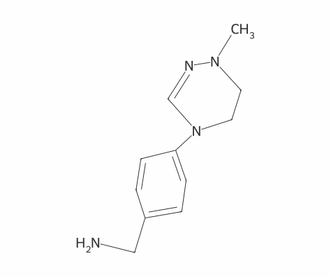 CN1CCN(c2ccc(CN)cc2)C=N1